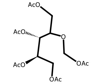 CC(=O)OCOC(COC(C)=O)[C@@H](OC(C)=O)[C@@H](COC(C)=O)OC(C)=O